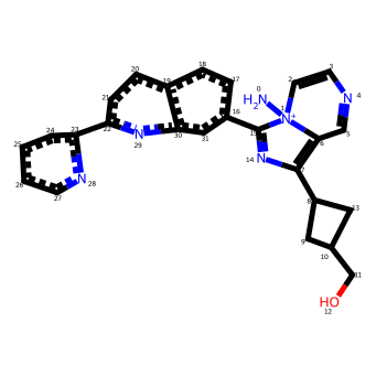 N[N+]12C=CN=CC1=C(C1CC(CO)C1)N=C2c1ccc2ccc(-c3ccccn3)nc2c1